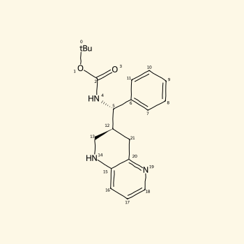 CC(C)(C)OC(=O)N[C@H](c1ccccc1)[C@@H]1CNc2cccnc2C1